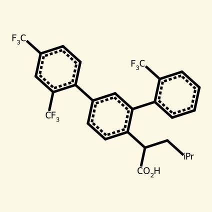 CC(C)CC(C(=O)O)c1ccc(-c2ccc(C(F)(F)F)cc2C(F)(F)F)cc1-c1ccccc1C(F)(F)F